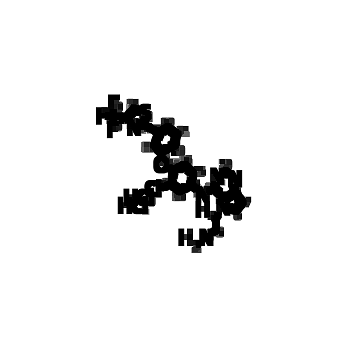 Cl.Cl.NCCn1ccc2ncnc(Nc3ccc(Oc4cccc(-c5nc(C(F)(F)F)cs5)c4)c(Cl)c3)c21